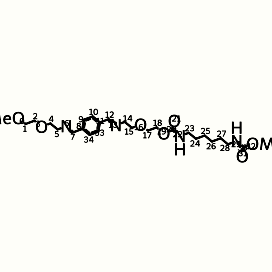 COCCOCC/N=C/c1ccc(/C=N/CCOCCOC(=O)NCCCCCCNC(=O)OC)cc1